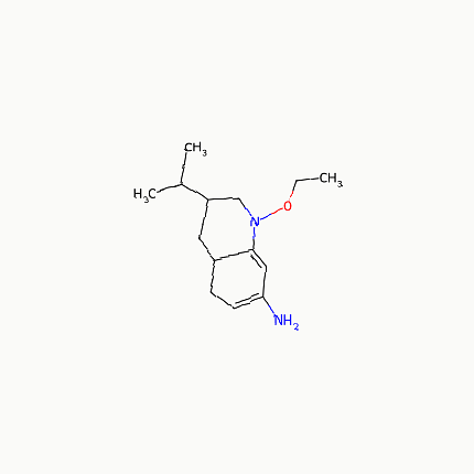 CCON1CC(C(C)C)CC2CC=C(N)C=C21